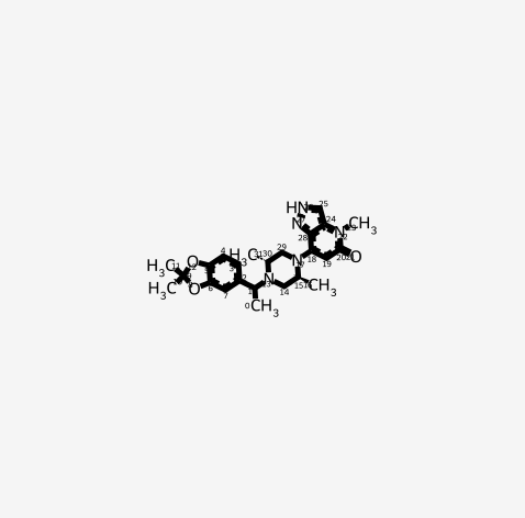 CC(c1ccc2c(c1)OC(C)(C)O2)N1C[C@H](C)N(c2cc(=O)n(C)c3c[nH]nc23)C[C@H]1C